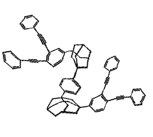 C(#Cc1ccc(C23CC4CC(CC(c5ccc(C67CC8CC(C6)CC(c6ccc(C#Cc9ccccc9)c(C#Cc9ccccc9)c6)(C8)C7)cc5)(C4)C2)C3)cc1C#Cc1ccccc1)c1ccccc1